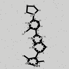 Cc1n[nH]c(C)c1-c1ccc2sc(-c3ccc(N4CCCC4)nc3F)nc2n1